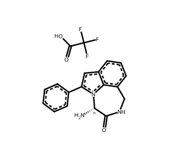 N[C@H]1C(=O)NCc2cccc3cc(-c4ccccc4)n1c23.O=C(O)C(F)(F)F